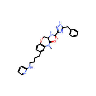 CN1C(=O)C(NC(=O)c2n[nH]c(Cc3ccccc3)n2)COc2ccc(CCCCNc3ccccn3)cc21